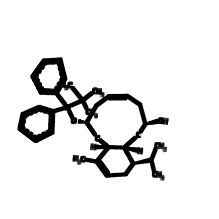 CC1=CC[C@H](C(C)C)[C@H]2C[C@H](O)CC=CC[C@@H](O[Si](c3ccccc3)(c3ccccc3)C(C)(C)C)C[C@@H]12